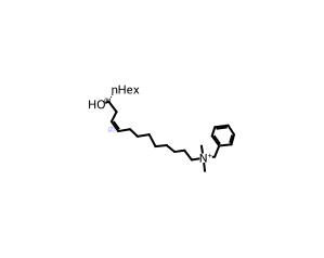 CCCCCC[C@@H](O)C/C=C\CCCCCCCC[N+](C)(C)Cc1ccccc1